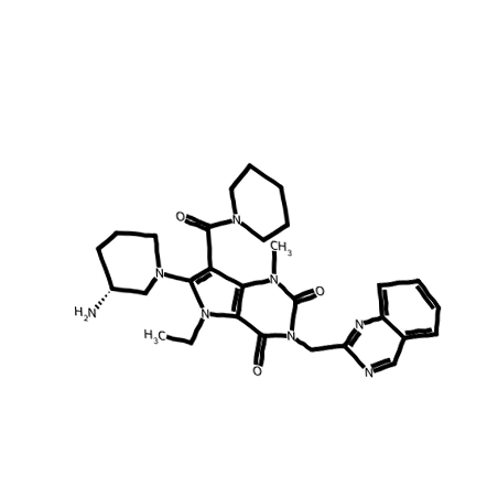 CCn1c(N2CCC[C@@H](N)C2)c(C(=O)N2CCCCC2)c2c1c(=O)n(Cc1ncc3ccccc3n1)c(=O)n2C